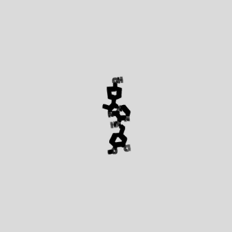 COc1ccc(CNc2nccn3c(-c4ccc(O)cc4)c(C)nc23)cc1Cl